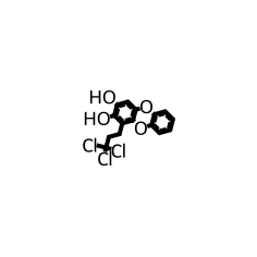 Oc1cc2c(c(CCC(Cl)(Cl)Cl)c1O)Oc1ccccc1O2